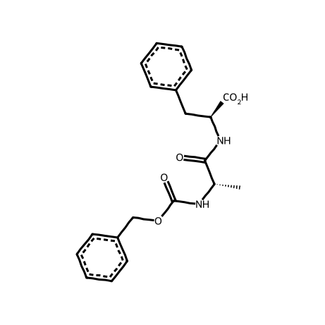 C[C@H](NC(=O)OCc1ccccc1)C(=O)N[C@@H](Cc1ccccc1)C(=O)O